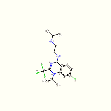 CC(C)NCCNC1N=C(C(Cl)(Cl)Cl)N(C(C)C)c2cc(Cl)ccc21